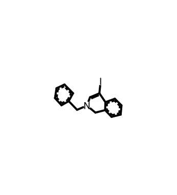 IC1=CN(Cc2ccccc2)Cc2ccccc21